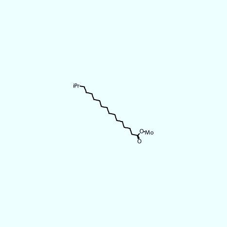 CC(C)CCCCCCCCCCCCCCC(=O)[O][Mo]